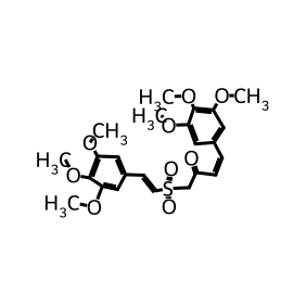 COc1cc(C=CS(=O)(=O)CC(=O)/C=C\c2cc(OC)c(OC)c(OC)c2)cc(OC)c1OC